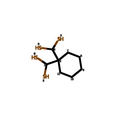 SC(S)C1(C(S)S)CCCCC1